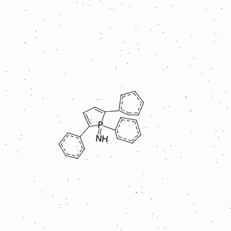 N=P1(c2ccccc2)C(c2ccccc2)=CC=C1c1ccccc1